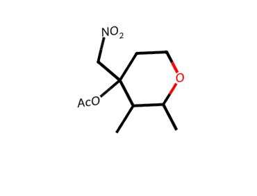 CC(=O)OC1(C[N+](=O)[O-])CCOC(C)C1C